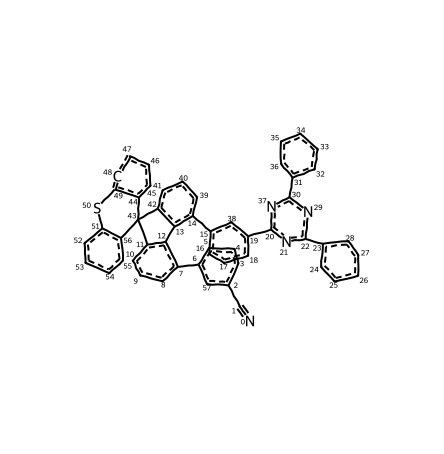 N#Cc1cccc(-c2cccc3c2-c2c(-c4cccc(-c5nc(-c6ccccc6)nc(-c6ccccc6)n5)c4)cccc2C32c3ccccc3Sc3ccccc32)c1